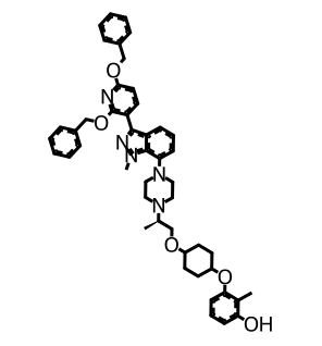 Cc1c(O)cccc1OC1CCC(OC[C@@H](C)N2CCN(c3cccc4c(-c5ccc(OCc6ccccc6)nc5OCc5ccccc5)nn(C)c34)CC2)CC1